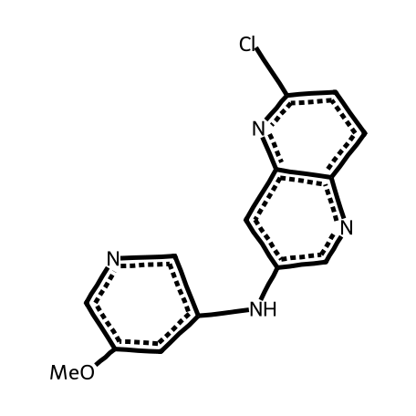 COc1cncc(Nc2cnc3ccc(Cl)nc3c2)c1